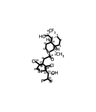 C[C@H]1[C@H]2CCC[C@@H]([C@H](O)C(F)(F)F)[C@@H]2CCN1C(=O)Cc1c(Cl)cnc([C@H](O)C(F)F)c1Cl